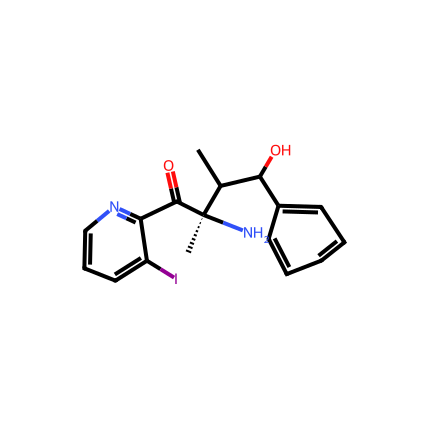 CC(C(O)c1ccccc1)[C@@](C)(N)C(=O)c1ncccc1I